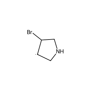 BrC1[CH]CNC1